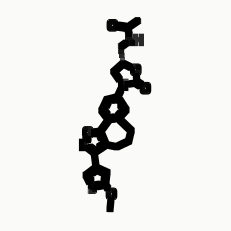 COc1cc(-c2noc3c2CCCc2cc(N4C[C@H](CNC(C)=O)OC4=O)ccc2-3)cs1